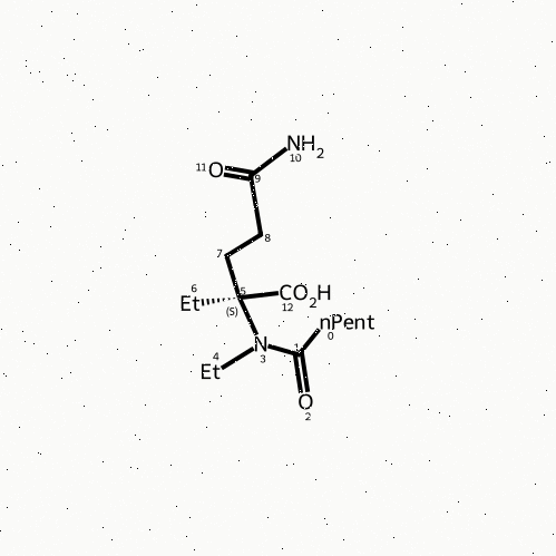 CCCCCC(=O)N(CC)[C@@](CC)(CCC(N)=O)C(=O)O